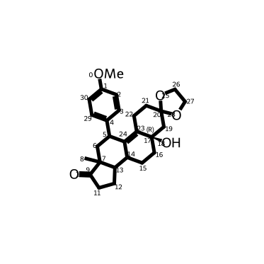 COc1ccc(C2CC3(C)C(=O)CCC3C3CC[C@@]4(O)CC5(CCC4=C23)OCCO5)cc1